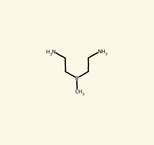 CB(CCN)CCN